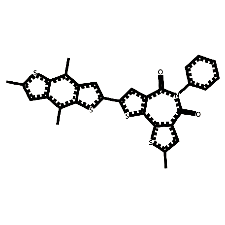 Cc1cc2c(C)c3sc(-c4cc5c(=O)n(-c6ccccc6)c(=O)c6cc(C)sc6c5s4)cc3c(C)c2s1